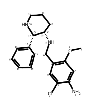 COc1cc(N)c(Cl)cc1CN[C@H]1CCCN[C@H]1c1ccccc1